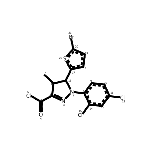 CC1C(C(=O)Cl)=NN(c2ccc(Cl)cc2Cl)C1c1ccc(Br)s1